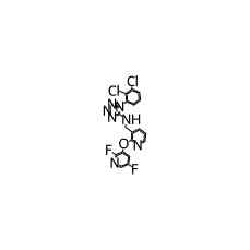 Fc1cnc(F)c(Oc2ncccc2CNc2nnnn2-c2cccc(Cl)c2Cl)c1